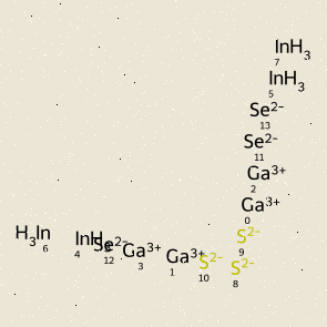 [Ga+3].[Ga+3].[Ga+3].[Ga+3].[InH3].[InH3].[InH3].[InH3].[S-2].[S-2].[S-2].[Se-2].[Se-2].[Se-2]